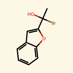 CC(O)(Br)c1cc2ccccc2o1